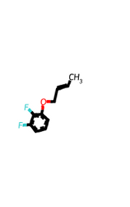 CC=CCOc1cccc(F)c1F